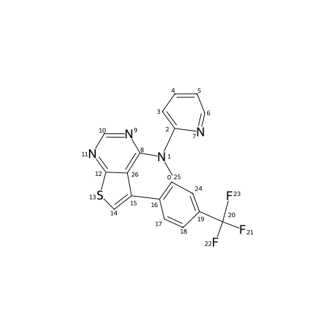 CN(c1ccccn1)c1ncnc2scc(-c3ccc(C(F)(F)F)cc3)c12